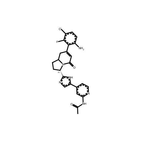 CC(=O)Nc1cc(-c2cnc([C@@H]3CCC4CC(c5c(N)ccc(Cl)c5F)=CC(=O)N43)[nH]2)ccn1